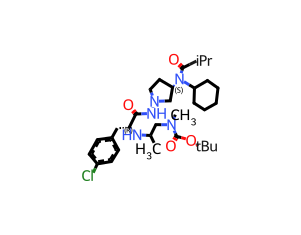 CC(CN(C)C(=O)OC(C)(C)C)N[C@H](Cc1ccc(Cl)cc1)C(=O)NN1CC[C@H](N(C(=O)C(C)C)C2CCCCC2)C1